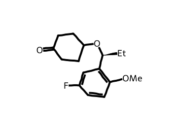 CC[C@H](OC1CCC(=O)CC1)c1cc(F)ccc1OC